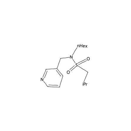 CCCCCCN(Cc1cccnc1)S(=O)(=O)CC(C)C